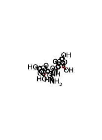 NNCC(=O)NC(C(=O)N(I)c1ccc2c(c1)C(=O)OC21c2ccc(O)cc2Oc2cc(O)ccc21)c1ccc2c(c1)C(=O)OC21c2ccc(O)cc2Oc2cc(O)ccc21